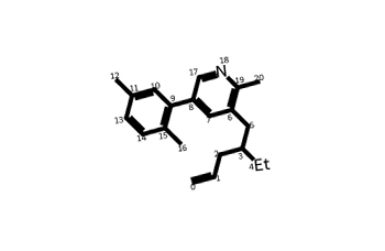 C=CCC(CC)Cc1cc(-c2cc(C)ccc2C)cnc1C